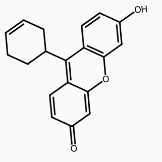 O=c1ccc2c(C3CC=CCC3)c3ccc(O)cc3oc-2c1